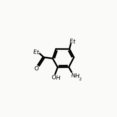 CCC(=O)c1cc(CC)cc(N)c1O